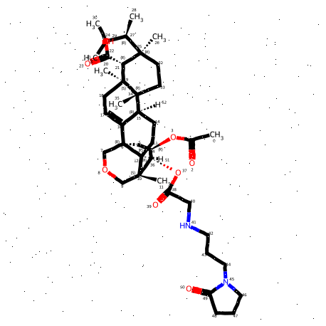 CC(=O)O[C@@H]1C[C@@]23COC[C@](C)([C@@H]2CC[C@H]2C3=CC[C@@]3(C)[C@H](C(=O)O)[C@@](C)([C@H](C)C(C)C)CC[C@]23C)[C@H]1OC(=O)CNCCCN1CCCC1=O